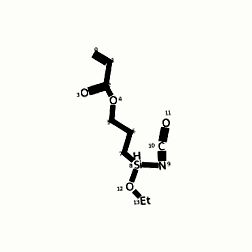 C=CC(=O)OCCC[SiH](N=C=O)OCC